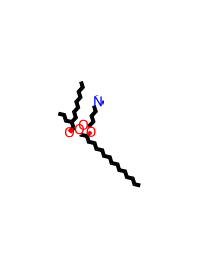 CCCCCCCCCCCCCCC(COC(=O)C(CCC)CCCCCCCC)OC(=O)CCCCN(C)C